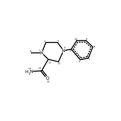 CN1CCN(c2ccccc2)CC1C(N)=O